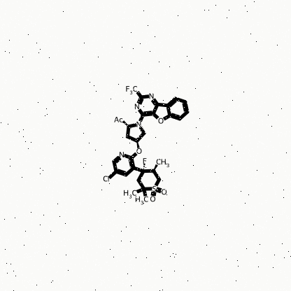 CC(=O)[C@@H]1C[C@H](Oc2ncc(Cl)cc2[C@]2(F)CC(C)(C)S(=O)(=O)C[C@@H]2C)CN1c1nc(C(F)(F)F)nc2c1oc1ccccc12